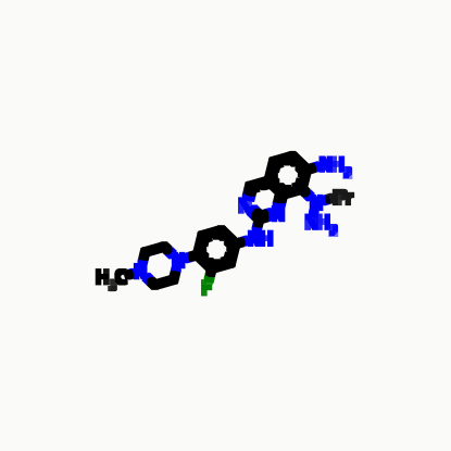 CC(C)N(N)c1c(N)ccc2cnc(Nc3ccc(N4CCN(C)CC4)c(F)c3)nc12